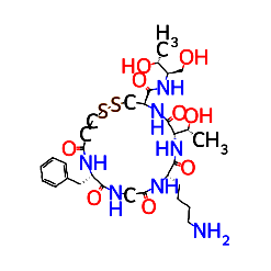 C[C@@H](O)[C@@H]1NC(=O)[C@H](CCCCN)NC(=O)CNC(=O)[C@H](Cc2ccccc2)NC(=O)CCSSC[C@@H](C(=O)N[C@H](CO)[C@@H](C)O)NC1=O